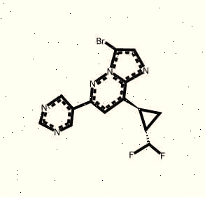 FC(F)[C@H]1C[C@@H]1c1cc(-c2cncnc2)nn2c(Br)cnc12